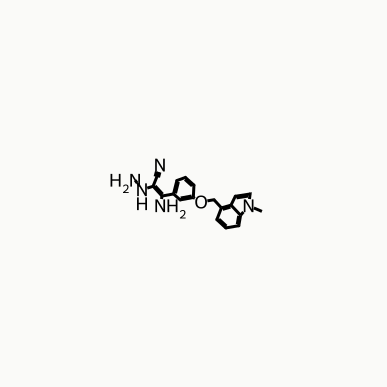 Cn1ccc2c(COc3cccc(/C(N)=C(\C#N)NN)c3)cccc21